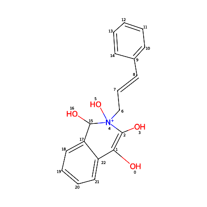 OC1=C(O)[N+](O)(CC=Cc2ccccc2)C(O)c2ccccc21